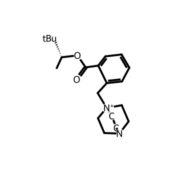 C[C@@H](OC(=O)c1ccccc1C[N+]12CCN(CC1)CC2)C(C)(C)C